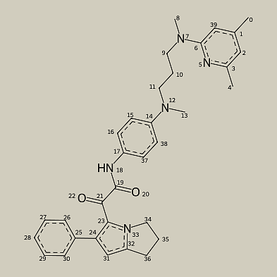 Cc1cc(C)nc(N(C)CCCN(C)c2ccc(NC(=O)C(=O)c3c(-c4ccccc4)cc4n3CCC4)cc2)c1